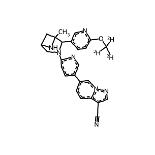 [2H]C([2H])([2H])Oc1ccc(C2N(c3ccc(-c4ccc5c(C#N)cnn5c4)cn3)CC3CC2(C)N3)cn1